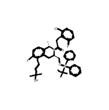 C[C@H]1c2ccc(F)c(CCC(C)(C)O)c2C[C@H](CO[Si](c2ccccc2)(c2ccccc2)C(C)(C)C)N1C(=O)Cc1c(F)cccc1Cl